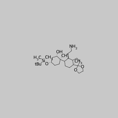 CC(C)(C)[Si](C)(C)O[C@H]1CC[C@](C)(C2CC[C@@]3(C)C(CCC34OCCO4)[C@@H]2CCN)[C@@H](O)C1